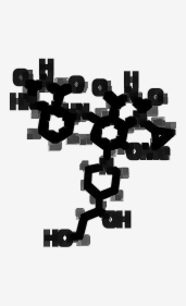 COc1c(N2CCC(C(O)CCO)CC2)cc(Nc2cccc3[nH]c(=O)[nH]c(=O)c23)c2c(=O)[nH]c(=O)n(C3CC3)c12